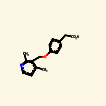 Cc1ccnc(C)c1COc1ccc(CC(=O)O)cc1